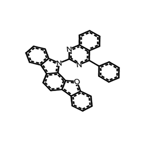 c1ccc(-c2nc(-n3c4ccccc4c4ccc5c6ccccc6oc5c43)nc3ccccc23)cc1